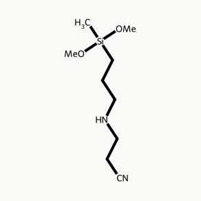 CO[Si](C)(CCCNCCC#N)OC